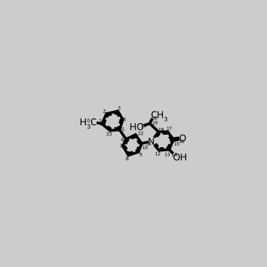 Cc1cccc(-c2cccc(-n3cc(O)c(=O)cc3C(C)O)c2)c1